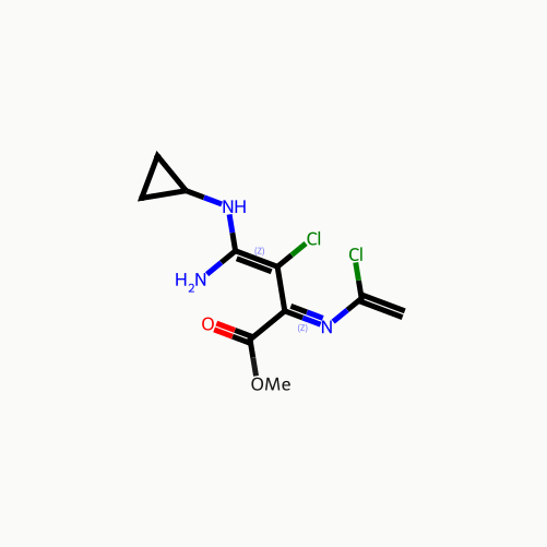 C=C(Cl)/N=C(C(=O)OC)\C(Cl)=C(/N)NC1CC1